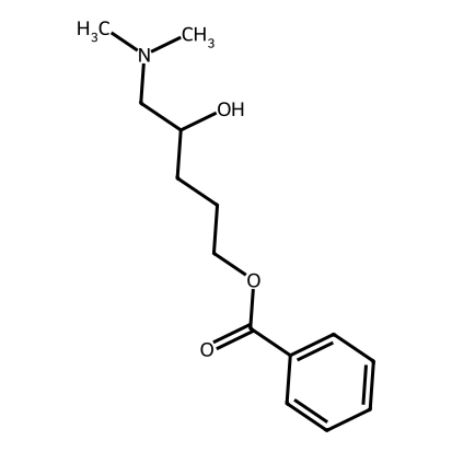 CN(C)CC(O)CCCOC(=O)c1ccccc1